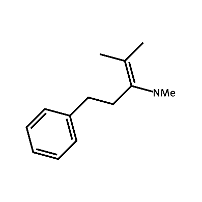 CNC(CCc1ccccc1)=C(C)C